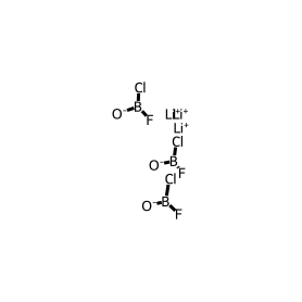 [Li+].[Li+].[Li+].[O-]B(F)Cl.[O-]B(F)Cl.[O-]B(F)Cl